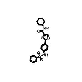 O=C(NC1CCCCC1)c1coc(-c2ccc(NS(=O)(=O)c3ccccc3)cc2)n1